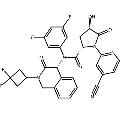 N#Cc1ccnc(N2C(=O)[C@H](O)C[C@H]2C(=O)N(c2cc(F)cc(F)c2)[C@H]2C(=O)N(C3CC(F)(F)C3)Cc3ccccc32)c1